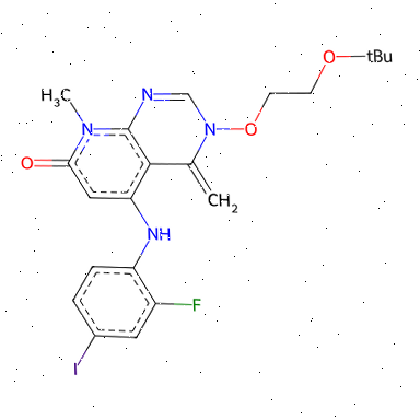 C=C1c2c(Nc3ccc(I)cc3F)cc(=O)n(C)c2N=CN1OCCOC(C)(C)C